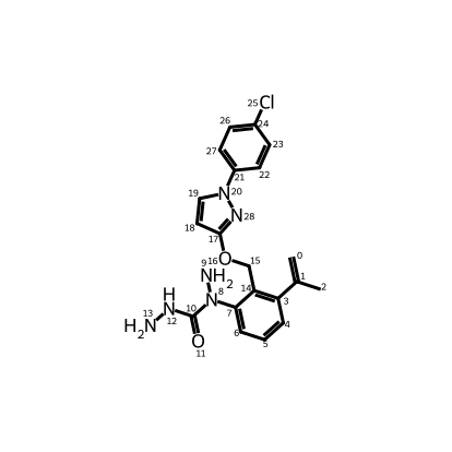 C=C(C)c1cccc(N(N)C(=O)NN)c1COc1ccn(-c2ccc(Cl)cc2)n1